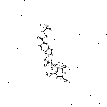 CC[C@@H](Cn1ccc2cc(C(=O)NCC(N)=O)ccc21)NS(=O)(=O)c1c(C)cc(C)cc1C